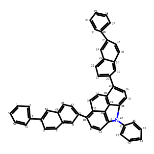 c1ccc(-c2ccc3cc(-c4ccc5c6c4ccc4c(-c7ccc8cc(-c9ccccc9)ccc8c7)ccc(c46)n5-c4ccccc4)ccc3c2)cc1